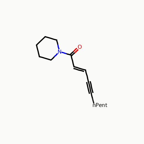 CCCCCC#C/C=C/C(=O)N1CCCCC1